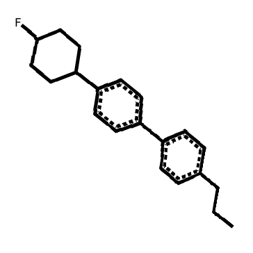 CCCc1ccc(-c2ccc(C3CCC(F)CC3)cc2)cc1